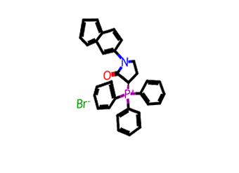 O=C1[C@H]([P+](c2ccccc2)(c2ccccc2)c2ccccc2)CCN1c1ccc2ccccc2c1.[Br-]